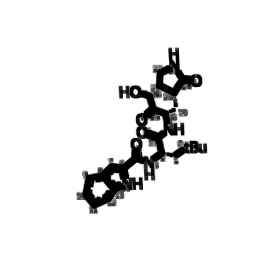 CC(C)(C)C[C@H](NC(=O)c1cc2ccccc2[nH]1)C(=O)N[C@@H](C[C@@H]1CCNC1=O)C(=O)CO